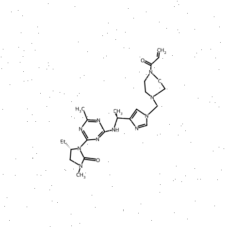 C=CC(=O)N1CCN(Cn2cnc([C@H](C)Nc3nc(C)nc(N4C(=O)N(C)C[C@@H]4CC)n3)c2)CC1